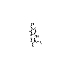 CC1=C(Nc2ccc(CO)cc2)CCC1=O